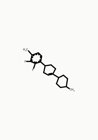 Cc1ccc(C2CC=C(C3CCC(C)CC3)CC2)c(F)c1F